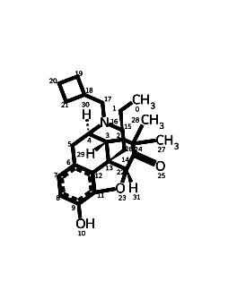 CC[C@@H]1[C@H]2[C@H]3Cc4ccc(O)c5c4[C@@]2(CCN3CC2CCC2)[C@@H](O5)C(=O)C1(C)C